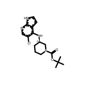 CC(C)(C)OC(=O)N1CCC[C@@H](Nc2c(Cl)cnc3[nH]ccc23)C1